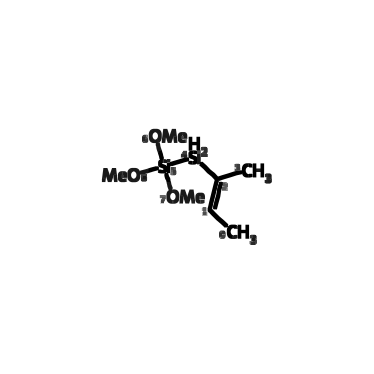 CC=C(C)[SiH2][Si](OC)(OC)OC